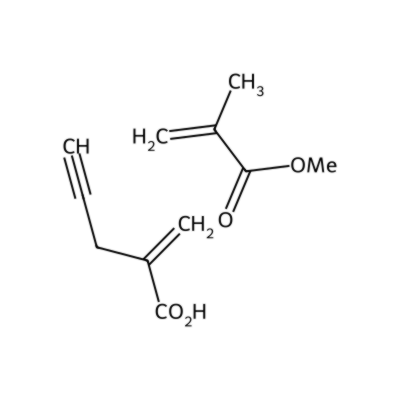 C#CCC(=C)C(=O)O.C=C(C)C(=O)OC